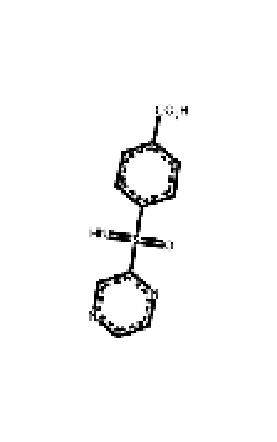 N=S(=O)(c1ccc(C(=O)O)cc1)c1cnccn1